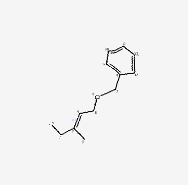 [CH2]C/C(C)=C/COCc1ccccc1